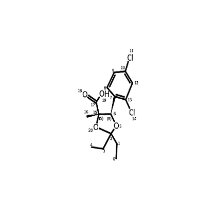 CCC1(CC)O[C@H](c2ccc(Cl)cc2Cl)[C@@](C)(C(=O)O)O1